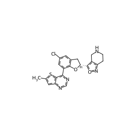 Cc1cc2ncnc(-c3cc(Cl)cc4c3O[C@@H](c3onc5c3CNCC5)C4)c2s1